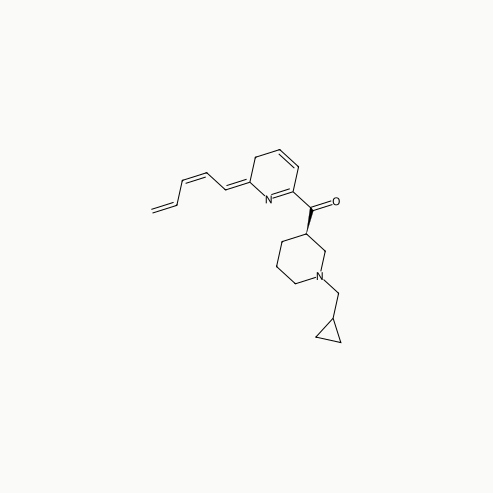 C=C/C=C\C=C1/CC=CC(C(=O)[C@@H]2CCCN(CC3CC3)C2)=N1